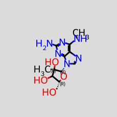 CNc1nc(N)nc2c1ncn2[C@@H]1O[C@H](CO)C(O)[C@@]1(C)O